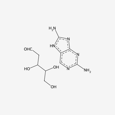 Nc1ncc2[nH]c(N)nc2n1.O=CCC(O)C(O)CO